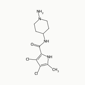 Cc1[nH]c(C(=O)NC2CCN(N)CC2)c(Cl)c1Cl